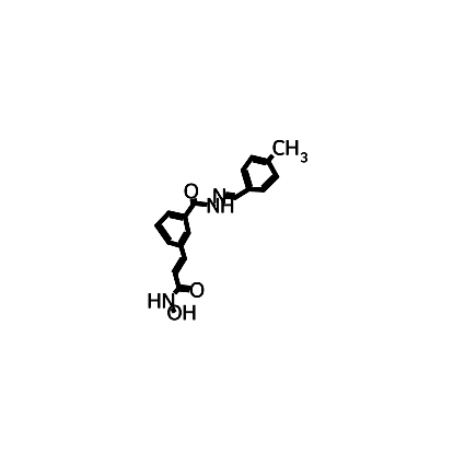 Cc1ccc(/C=N/NC(=O)c2cccc(/C=C/C(=O)NO)c2)cc1